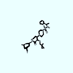 CC(NS(=O)(=O)N1CCN(c2cnn(-c3cc(F)cc(F)c3)c(=O)c2OCC2(C)CC2)CC1)c1ccccc1